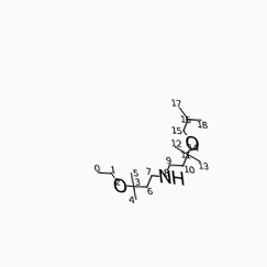 CCOC(C)(C)CCNCCC(C)(C)OCC(C)C